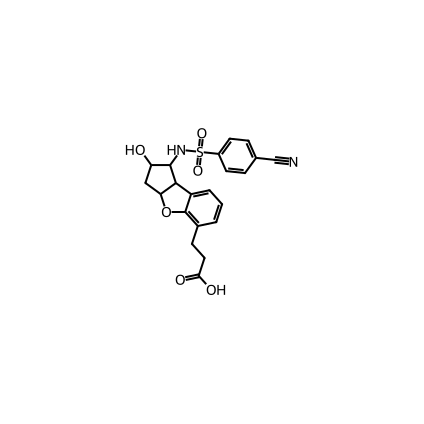 N#Cc1ccc(S(=O)(=O)NC2C(O)CC3Oc4c(CCC(=O)O)cccc4C32)cc1